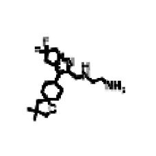 CC1(C)COC2(CCC(c3c(CNCCN)nn4c3CC(F)(F)C4)CC2)C1